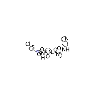 O=C(Nc1ccc2ncccc2c1)[C@@H]1CCCN1C(=O)CN1CCC[C@H](NS(=O)(=O)/C=C/c2ccc(Cl)s2)C1=O